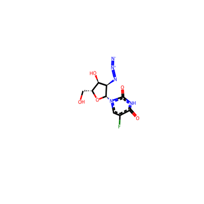 [N-]=[N+]=N[C@@H]1[C@H](O)[C@@H](CO)O[C@H]1n1cc(F)c(=O)[nH]c1=O